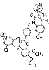 COc1ccc([C@H](Cc2c(Cl)c[n+]([O-])cc2Cl)OC(=O)c2ccc(CN(C(=O)O[C@H]3CN4CCC3CC4)c3cc(O)ccc3C)cc2)cc1OC